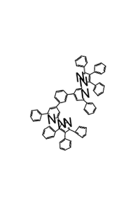 c1ccc(-c2cc(-c3cccc(-c4cc(-c5ccccc5)nc(-n5nc(-c6ccccc6)c(-c6ccccc6)c5-c5ccccc5)c4)c3)cc(-n3nc(-c4ccccc4)c(-c4ccccc4)c3-c3ccccc3)n2)cc1